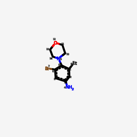 CCc1cc(N)cc(Br)c1N1CCOCC1